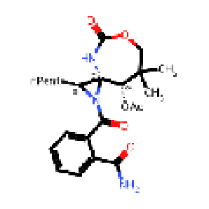 CCCCC[C@@H]1N(C(=O)c2ccccc2C(N)=O)[C@@]12NC(=O)OCC(C)(C)[C@@H]2OC(C)=O